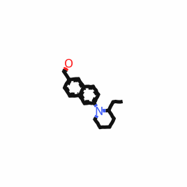 CCC1CCCCN1c1ccc2cc(C=O)ccc2c1